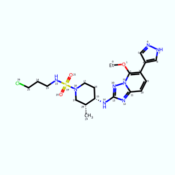 CCOc1c(-c2cn[nH]c2)ccc2nc(N[C@H]3CCN(S(=O)(=O)NCCCCl)C[C@H]3C)nn12